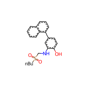 CCCCS(=O)(=O)CNc1cc(-c2cccc3ccccc23)ccc1O